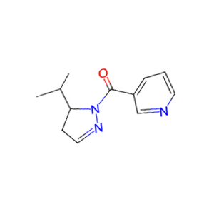 CC(C)C1CC=NN1C(=O)c1cccnc1